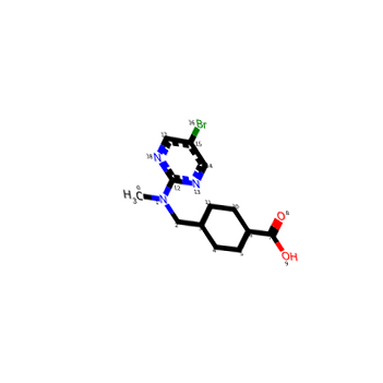 CN(CC1CCC(C(=O)O)CC1)c1ncc(Br)cn1